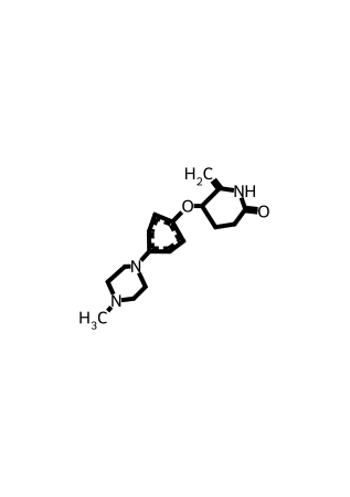 C=C1NC(=O)CCC1Oc1ccc(N2CCN(C)CC2)cc1